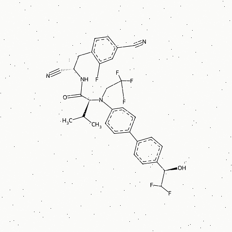 CC(C)[C@@H](C(=O)N[C@H](C#N)Cc1ccc(C#N)cc1F)N(CC(F)(F)F)c1ccc(-c2ccc([C@@H](O)C(F)F)cc2)cc1